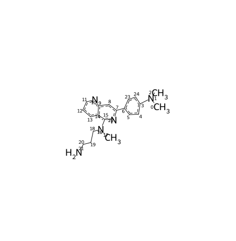 CN(C)c1ccc(-c2cc3ncccc3c(N(C)CCCN)n2)cc1